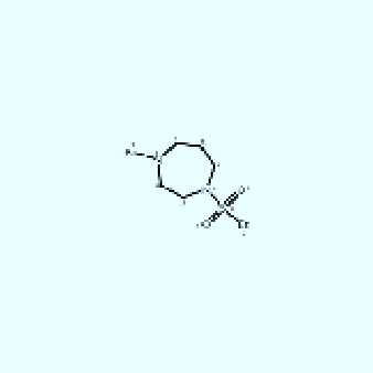 CCS(=O)(=O)N1CCCN(C(C)(C)C)CC1